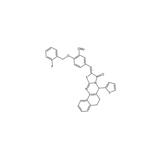 COc1cc(/C=c2\sc3n(c2=O)C(c2cccs2)C2=C(N=3)c3ccccc3CC2)ccc1OCc1ccccc1F